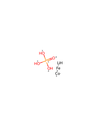 O=P(O)(O)O.[Co].[Fe].[LiH]